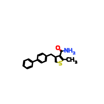 Cc1scc(Cc2ccc(-c3ccccc3)cc2)c1C(N)=O